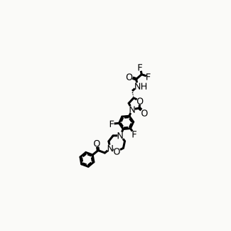 O=C(CN1CCN(c2c(F)cc(N3C[C@H](CNC(=O)C(F)F)OC3=O)cc2F)CCO1)c1ccccc1